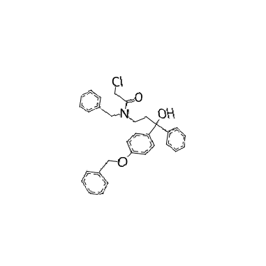 O=C(CCl)N(CCC(O)(c1ccccc1)c1ccc(OCc2ccccc2)cc1)Cc1ccccc1